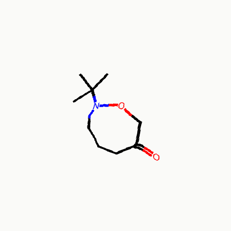 CC(C)(C)N1CCCC(=O)CO1